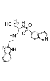 CC(CNCCc1nc2ccccc2[nH]1)NS(=O)(=O)c1ccc2cnccc2c1.Cl